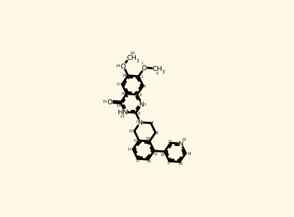 COc1cc2nc(N3CCc4c(cccc4-c4cccnc4)C3)[nH]c(=O)c2cc1OC